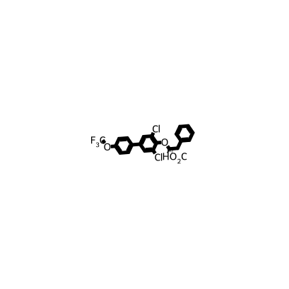 O=C(O)[C@@H](Cc1ccccc1)Oc1c(Cl)cc(-c2ccc(OC(F)(F)F)cc2)cc1Cl